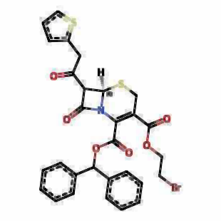 O=C(OCCBr)C1=C(C(=O)OC(c2ccccc2)c2ccccc2)N2C(=O)C(C(=O)Cc3cccs3)[C@H]2SC1